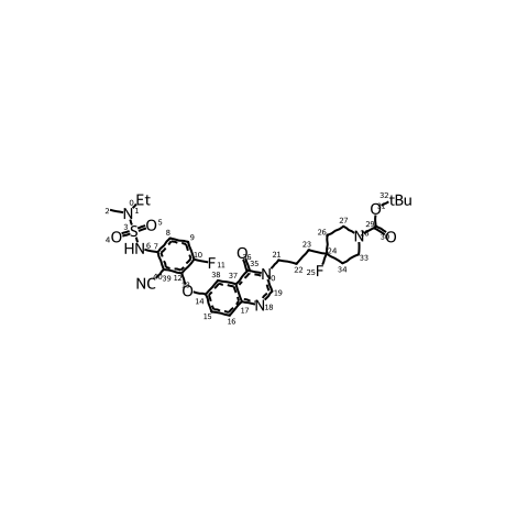 CCN(C)S(=O)(=O)Nc1ccc(F)c(Oc2ccc3ncn(CCCC4(F)CCN(C(=O)OC(C)(C)C)CC4)c(=O)c3c2)c1C#N